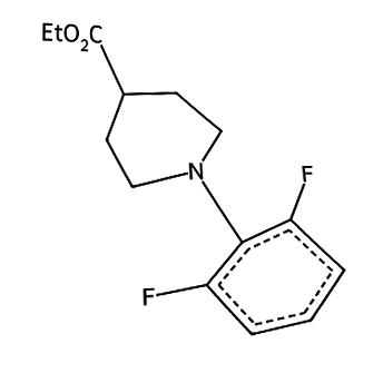 CCOC(=O)C1CCN(c2c(F)cccc2F)CC1